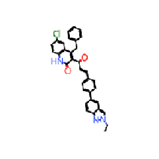 CCn1cc2cc(-c3ccc(/C=C/C(=O)c4c(Cc5ccccc5)c5cc(Cl)ccc5[nH]c4=O)cc3)ccc2n1